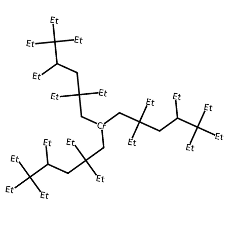 CCC(CC(CC)(CC)[CH2][Cr]([CH2]C(CC)(CC)CC(CC)C(CC)(CC)CC)[CH2]C(CC)(CC)CC(CC)C(CC)(CC)CC)C(CC)(CC)CC